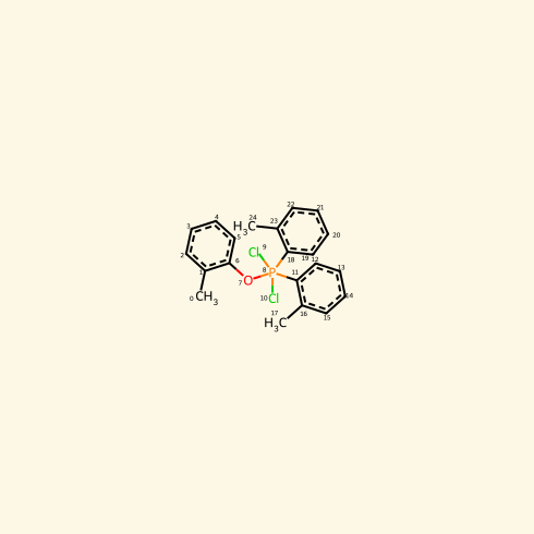 Cc1ccccc1OP(Cl)(Cl)(c1ccccc1C)c1ccccc1C